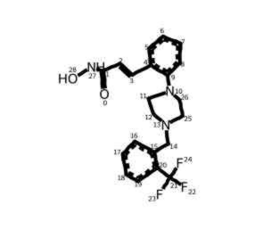 O=C(C=Cc1ccccc1N1CCN(Cc2ccccc2C(F)(F)F)CC1)NO